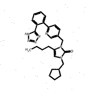 CCCCc1cn(CC2CCCC2)c(=O)n1Cc1ccc(-c2ccccc2-c2nnn[nH]2)nc1